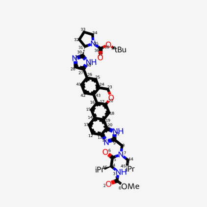 COC(=O)N[C@H](C(=O)N(Cc1nc2ccc3cc4c(cc3c2[nH]1)OCc1cc(-c2cnc([C@@H]3CCCN3C(=O)OC(C)(C)C)[nH]2)ccc1-4)CC(C)C)C(C)C